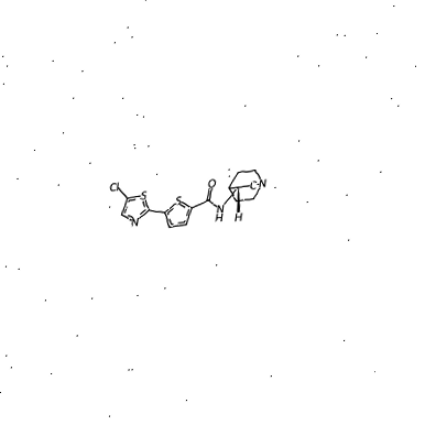 O=C(N[C@H]1CN2CCC1CC2)c1ccc(-c2ncc(Cl)s2)s1